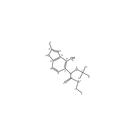 CCOC(=O)C(OC(C)(C)C)c1ccc2oc(C)nc2c1O